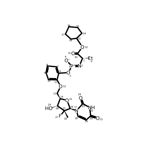 CC[C@H](/N=[P+](\[O-])Oc1ccccc1OC[C@H]1O[C@@H](n2ccc(=O)[nH]c2=O)[C@](C)(F)[C@@H]1O)C(=O)OC1CCCCC1